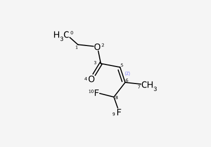 CCOC(=O)/C=C(/C)C(F)F